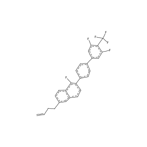 C=CCCc1ccc2c(F)c(-c3ccc(-c4cc(F)c(C(F)(F)F)c(F)c4)cc3)ccc2c1